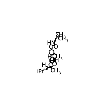 CC(C)CCC[C@H](C)[C@H]1CC[C@H]2[C@@H]3CC=C4C[C@@H](OC(=O)NCCN(C)C)CC[C@]4(C)[C@H]3CC[C@]12C